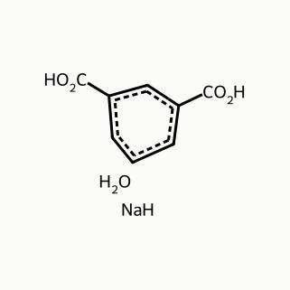 O.O=C(O)c1cccc(C(=O)O)c1.[NaH]